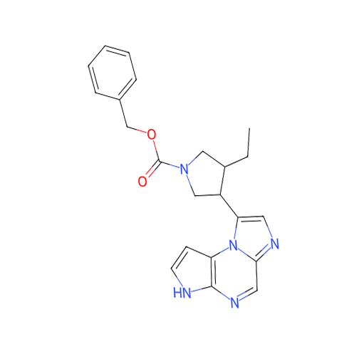 CCC1CN(C(=O)OCc2ccccc2)CC1c1cnc2cnc3[nH]ccc3n12